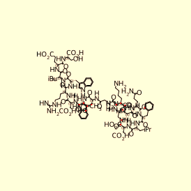 CC[C@H](C)[C@H](NC(=O)[C@H](Cc1c[nH]c2ccccc12)NC(=O)[C@H](CCCNC(=N)N)NC(=O)[C@H](CC(=O)O)NC(=O)[C@@H](NC(=O)[C@H](Cc1c[nH]c2ccccc12)NC(=O)CNC(=O)[C@H](CC(=O)O)NC(=O)CNC(=O)[C@H](CC(=O)O)NC(=O)[C@H](CC(C)C)NC(=O)[C@H](Cc1ccccc1)NC(=O)[C@H](CCC(N)=O)NC(=O)[C@H](CCC(=O)O)NC(=O)[C@@H](N)CCCCN)[C@@H](C)O)C(=O)N[C@@H](CCC(=O)O)C(=O)N[C@@H](CO)C(=O)O